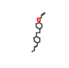 C=CCOC1CCC(CCC2CCC(C=CCC)CC2)CC1